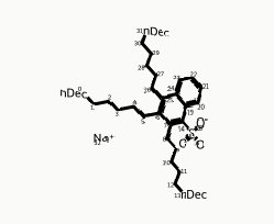 CCCCCCCCCCCCCCCc1c(CCCCCCCCCCCCCCC)c(S(=O)(=O)[O-])c2ccccc2c1CCCCCCCCCCCCCCC.[Na+]